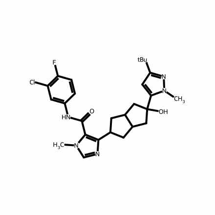 Cn1cnc(C2CC3CC(O)(c4cc(C(C)(C)C)nn4C)CC3C2)c1C(=O)Nc1ccc(F)c(Cl)c1